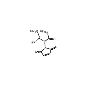 CCCCCC(=O)N(C(C(=O)O)C(C)C)N1C(=O)C=CC1=O